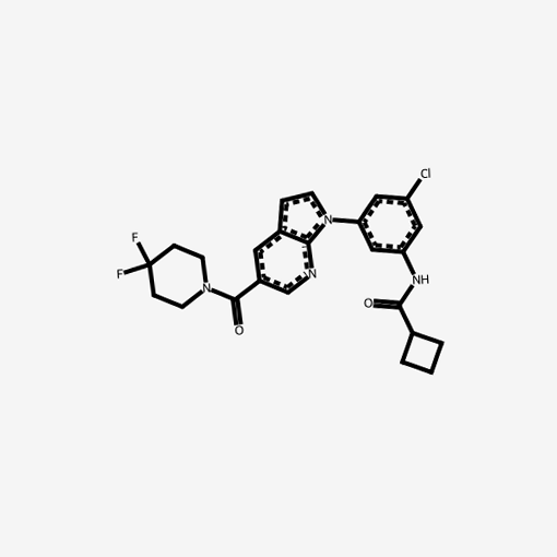 O=C(Nc1cc(Cl)cc(-n2ccc3cc(C(=O)N4CCC(F)(F)CC4)cnc32)c1)C1CCC1